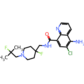 CC(C)(F)CN1CCC(F)(CNC(=O)c2cc(Cl)c(N)c3cccnc23)CC1